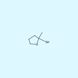 CC1(S)CCCO1